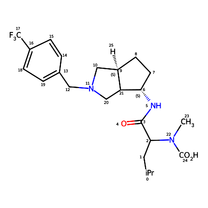 CC(C)CC(C(=O)N[C@H]1CC[C@@H]2CN(Cc3ccc(C(F)(F)F)cc3)CC21)N(C)C(=O)O